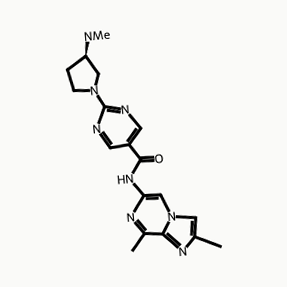 CN[C@@H]1CCN(c2ncc(C(=O)Nc3cn4cc(C)nc4c(C)n3)cn2)C1